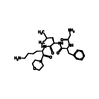 CC(C)C[C@@H](NC(=O)C(Cc1ccccc1)NC(=O)CN)C(=O)NC(CCCCN)C(=O)N1CCOCC1